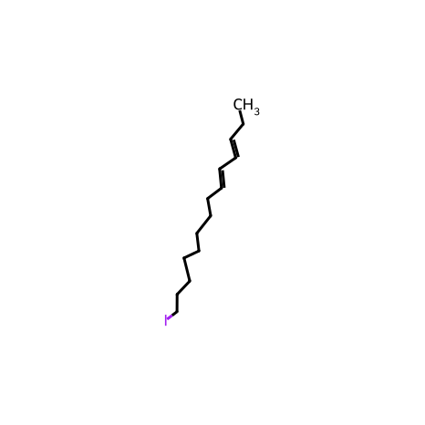 CCC=CC=CCCCCCCCCI